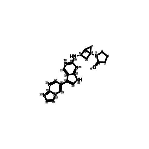 O=C1CCCN1[C@@]12CC1[C@@H](Nc1ncc3c(-c4cnc5nccn5c4)c[nH]c3n1)C2